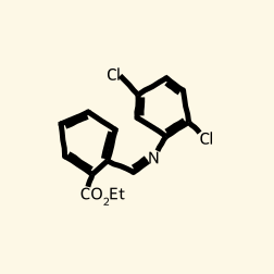 CCOC(=O)c1ccccc1/C=N\c1cc(Cl)ccc1Cl